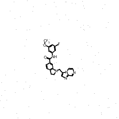 O=C(Nc1cc(F)cc(OC(F)(F)F)c1)c1ccc2c(c1)N(Cc1cnc3cnccn13)CC2